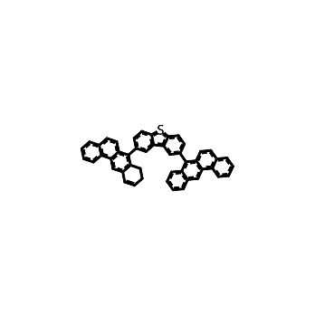 C1=Cc2cc3c(ccc4ccccc43)c(-c3ccc4sc5ccc(-c6c7ccccc7cc7c6ccc6ccccc67)cc5c4c3)c2CC1